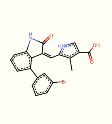 Cc1c(C(=O)O)c[nH]c1/C=C1\C(=O)Nc2cccc(-c3cccc(Br)c3)c21